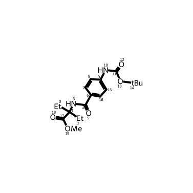 CCC(CC)(NC(=O)c1ccc(NC(=O)OC(C)(C)C)cc1)C(=O)OC